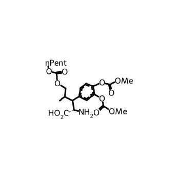 CCCCCOC(=O)OCC(C)C(c1ccc(OC(=O)OC)c(OC(=O)OC)c1)[C@H](N)C(=O)O